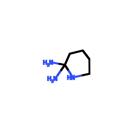 NC1(N)CCCCN1